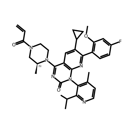 C=CC(=O)N1CCN(c2nc(=O)n(-c3c(C)ccnc3C(C)C)c3nc(-c4ccc(F)cc4OC)c(C4CC4)cc23)[C@@H](C)C1